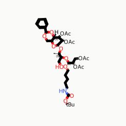 CC(=O)OC[C@H](OC(C)=O)[C@H](OCCCCCNC(=O)OC(C)(C)C)OC(CO)[C@H](C)O[C@@H]1OC2COC(c3ccccc3)O[C@@H]2C(OC(C)=O)[C@@H]1OC(C)=O